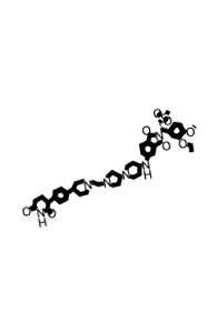 CCOc1cc([C@@H](CS(C)(=O)=O)N2C(=O)c3ccc(NC4CCN(C5CCN(CCN6CCC(c7ccc(C8CCC(=O)NC8=O)cc7)CC6)CC5)CC4)cc3C2=O)ccc1OC